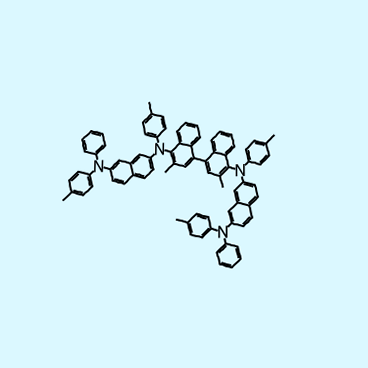 Cc1ccc(N(c2ccccc2)c2ccc3ccc(N(c4ccc(C)cc4)c4c(C)cc(-c5cc(C)c(N(c6ccc(C)cc6)c6ccc7ccc(N(c8ccccc8)c8ccc(C)cc8)cc7c6)c6ccccc56)c5ccccc45)cc3c2)cc1